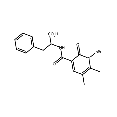 CCCCn1c(C)c(C)cc(C(=O)NC(Cc2ccccc2)C(=O)O)c1=O